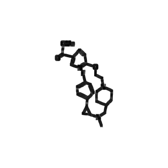 COC(=O)c1ccc(OCCN2CCC(CN(C)C3CC3c3ccc(F)cc3)CC2)nc1